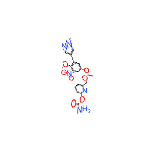 COc1c(-c2cnn(C)c2)cc(OC(C)OCc2cccc(OC(N)=O)n2)cc1[N+](=O)[O-]